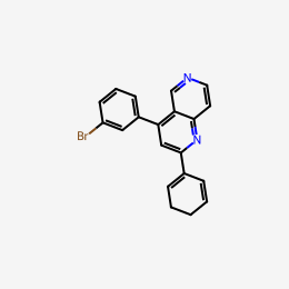 Brc1cccc(-c2cc(C3=CCCC=C3)nc3ccncc23)c1